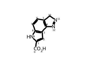 O=C(O)c1cc2c3c(ccc2[nH]1)CN=N3